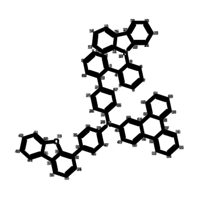 c1ccc(-c2ccccc2-n2c3ccccc3c3ccccc32)c(-c2ccc(N(c3ccc(-c4cccc5c4oc4ccccc45)cc3)c3ccc4c5ccccc5c5ccccc5c4c3)cc2)c1